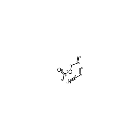 C=CC#N.C=CCOC(C)=O